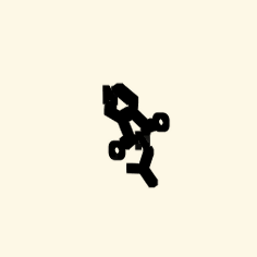 CC(C)CN1C(=O)c2ccncc2C1=O